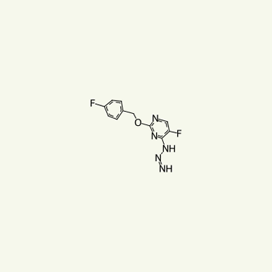 N=NNc1nc(OCc2ccc(F)cc2)ncc1F